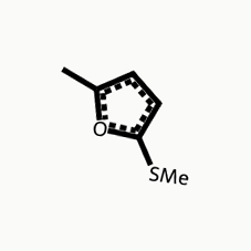 CSc1ccc(C)o1